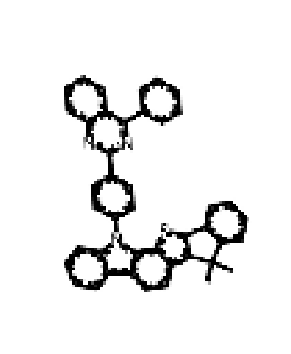 CC1(C)c2ccccc2-c2sc3c(ccc4c5ccccc5n(-c5ccc(-c6nc(-c7ccccc7)c7ccccc7n6)cc5)c43)c21